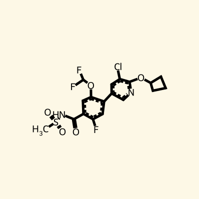 CS(=O)(=O)NC(=O)c1cc(OC(F)F)c(-c2cnc(OC3CCC3)c(Cl)c2)cc1F